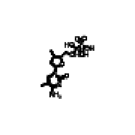 Cc1cn([C@H]2CC(C)[C@@H](CO[PH](O)(O)[PH]3(O)OO3)O2)c(=O)nc1N